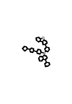 c1ccc(-c2ccc(-c3ccc(N(c4cccc(-c5ccc6oc7ccccc7c6c5)c4)c4ccc(-c5ccccc5)c5ccccc45)cc3)cc2)cc1